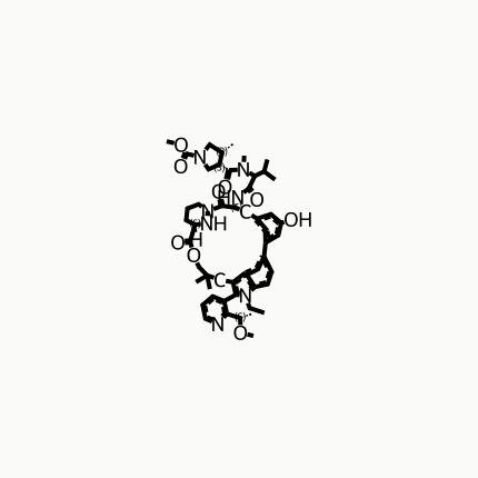 CCn1c(-c2cccnc2[C@H](C)OC)c2c3cc(ccc31)-c1cc(O)cc(c1)C[C@H](NC(=O)C(C(C)C)N(C)C(=O)[C@@H]1CN(C(=O)OC)C[C@@H]1C)C(=O)N1CCC[C@H](N1)C(=O)OCC(C)(C)C2